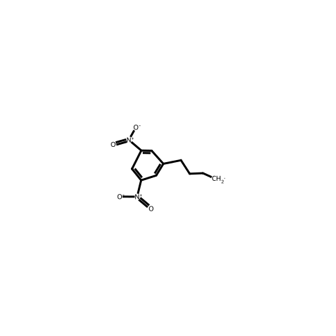 [CH2]CCCc1cc([N+](=O)[O-])cc([N+](=O)[O-])c1